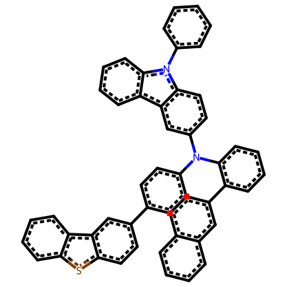 c1ccc(-n2c3ccccc3c3cc(N(c4ccc(-c5ccc6sc7ccccc7c6c5)cc4)c4ccccc4-c4ccc5ccccc5c4)ccc32)cc1